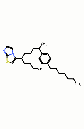 CCCCCCCc1ccc(C(C)CCCC(CCCC)c2csc3nccn23)cc1